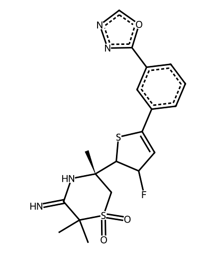 CC1(C)C(=N)N[C@](C)(C2SC(c3cccc(-c4nnco4)c3)=CC2F)CS1(=O)=O